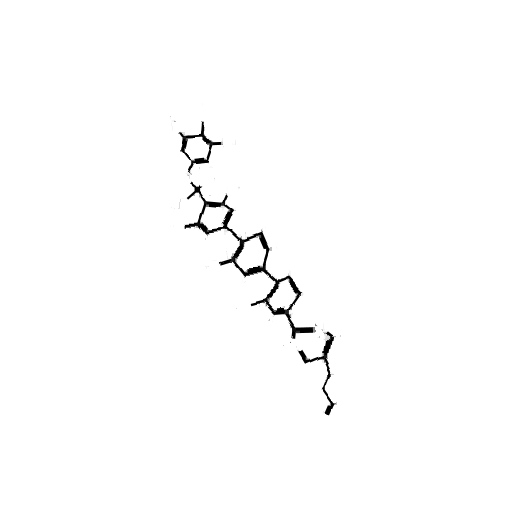 C=CCCc1cnc(-c2ccc(-c3ccc(-c4cc(F)c(C(F)(F)Oc5cc(F)c(F)c(F)c5)c(F)c4)c(F)c3)c(F)c2)nc1